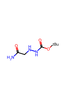 CC(C)(C)OC(=O)NNCC(N)=O